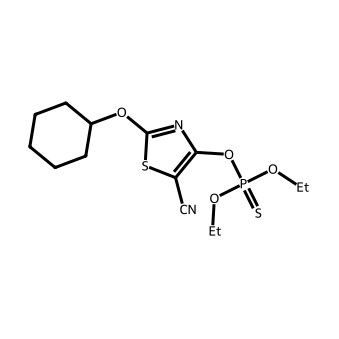 CCOP(=S)(OCC)Oc1nc(OC2CCCCC2)sc1C#N